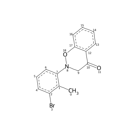 Cc1c(Br)cccc1N1CC(=O)c2ccccc2O1